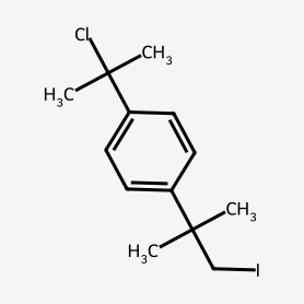 CC(C)(Cl)c1ccc(C(C)(C)CI)cc1